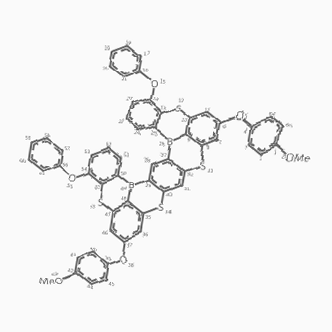 COc1ccc(Oc2cc3c4c(c2)Sc2c(Oc5ccccc5)cccc2B4c2cc4c(cc2S3)Sc2cc(Oc3ccc(OC)cc3)cc3c2B4c2cccc(Oc4ccccc4)c2S3)cc1